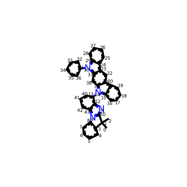 CC1(C)c2ccccc2-n2c1nc1c(-n3c4ccccc4c4cc5c6ccccc6n(-c6ccccc6)c5cc43)cccc12